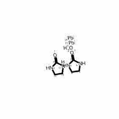 O.O=C1NCCN1.O=C1NCCN1.[Pb].[Pb]